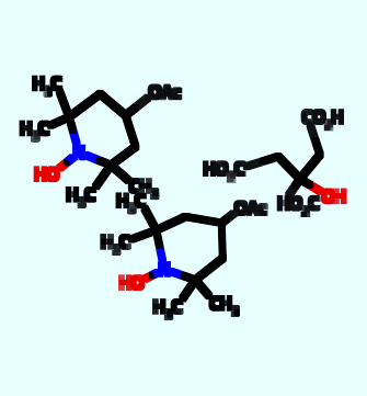 CC(=O)OC1CC(C)(C)N(O)C(C)(C)C1.CC(=O)OC1CC(C)(C)N(O)C(C)(C)C1.O=C(O)CC(O)(CC(=O)O)C(=O)O